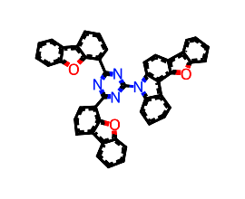 c1ccc2c(c1)oc1c(-c3nc(-c4cccc5c4oc4ccccc45)nc(-n4c5ccccc5c5c6oc7ccccc7c6ccc54)n3)cccc12